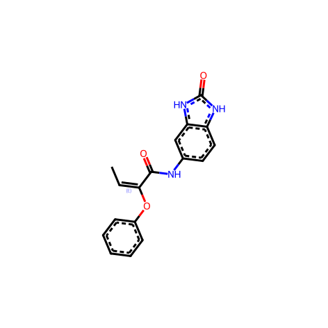 C/C=C(/Oc1ccccc1)C(=O)Nc1ccc2[nH]c(=O)[nH]c2c1